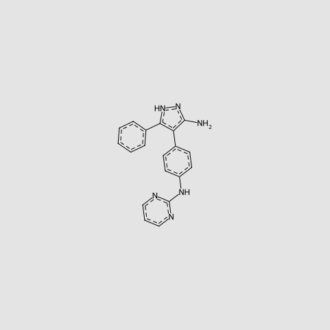 Nc1n[nH]c(-c2ccccc2)c1-c1ccc(Nc2ncccn2)cc1